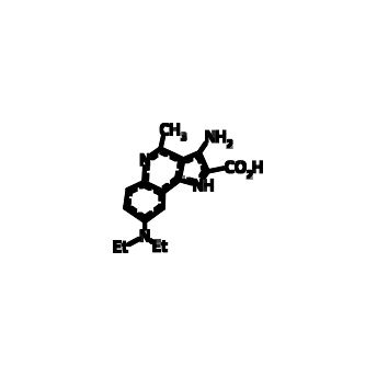 CCN(CC)c1ccc2nc(C)c3c(N)c(C(=O)O)[nH]c3c2c1